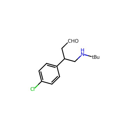 CC(C)(C)NCC(CC=O)c1ccc(Cl)cc1